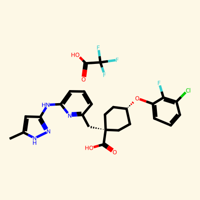 Cc1cc(Nc2cccc(C[C@]3(C(=O)O)CC[C@H](Oc4cccc(Cl)c4F)CC3)n2)n[nH]1.O=C(O)C(F)(F)F